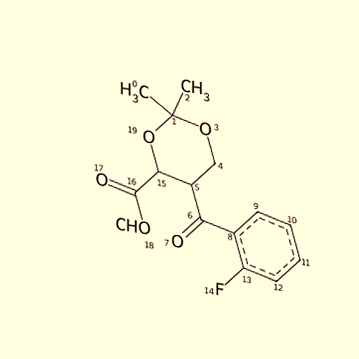 CC1(C)OCC(C(=O)c2ccccc2F)C(C(=O)C=O)O1